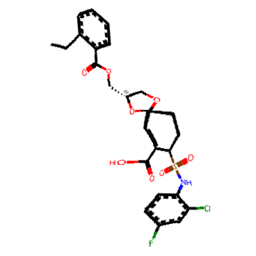 CCc1ccccc1C(=O)OC[C@@H]1COC2(C=C(C(=O)O)C(S(=O)(=O)Nc3ccc(F)cc3Cl)CC2)O1